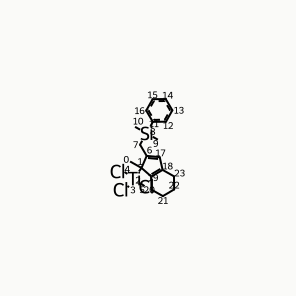 C[C]1([Ti]([Cl])([Cl])[Cl])C(C[Si](C)(C)c2ccccc2)=CC2=C1CCCC2